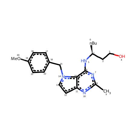 CCCC[C@@H](CCO)Nc1nc(C)nc2ccn(Cc3ccc(OC)cc3)c12